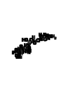 CC(NC(=O)C(NC(=O)OC(C)(C)C)C(C)C)C(=O)Nc1ccc(C(=O)NCCCC(NC(=O)c2ccc(NCc3ccc4nc(N)nc(N)c4c3Cl)cc2)C(=O)O)c(-c2nnn[nH]2)c1